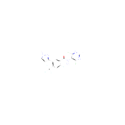 Cc1nc(Cl)c(NC(=O)c2cc(-c3ccn(C)n3)c(C(F)(F)F)cc2F)c(Cl)n1